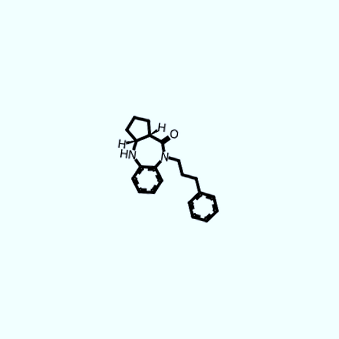 O=C1[C@H]2CCC[C@H]2Nc2ccccc2N1CCCc1ccccc1